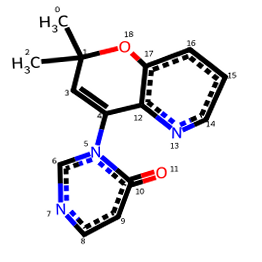 CC1(C)C=C(n2cnccc2=O)c2ncccc2O1